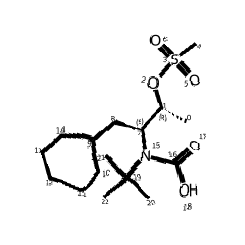 C[C@@H](OS(C)(=O)=O)[C@H](CC1CCCCC1)N(C(=O)O)C(C)(C)C